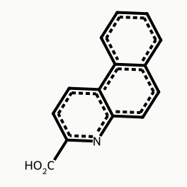 O=C(O)c1ccc2c(ccc3ccccc32)n1